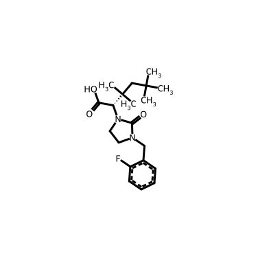 CC(C)(C)CC(C)(C)[C@@H](C(=O)O)N1CCN(Cc2ccccc2F)C1=O